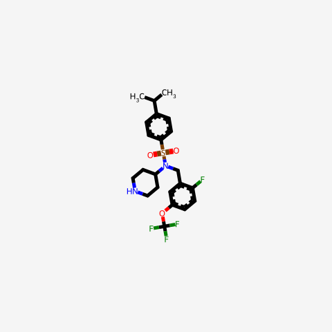 CC(C)c1ccc(S(=O)(=O)N(Cc2cc(OC(F)(F)F)ccc2F)C2CCNCC2)cc1